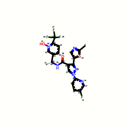 Cc1ncc(-c2nn(-c3ccc(F)cn3)cc2C(=O)N[C@H](C)c2ccc(C(F)(F)F)[n+](O)c2)s1